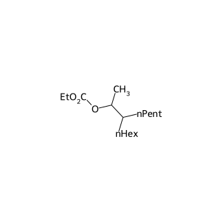 CCCCCCC(CCCCC)C(C)OC(=O)OCC